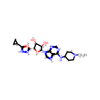 CCOC(=O)N1CCC(Nc2ncnc3c2ncn3[C@@H]2O[C@H](c3nnc(C4CC4)o3)[C@@H](O)[C@H]2O)CC1